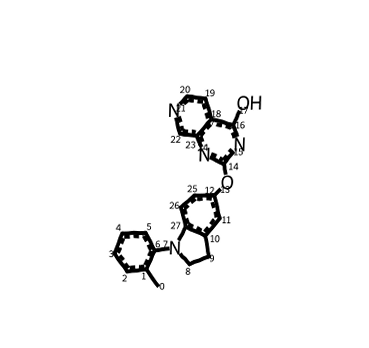 Cc1ccccc1N1CCc2cc(Oc3nc(O)c4ccncc4n3)ccc21